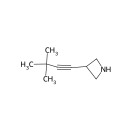 CC(C)(C)C#CC1CNC1